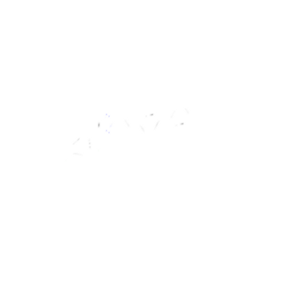 CCOc1ccc(-c2ccc(C=Cc3nc(-c4ccc(Cl)cc4Cl)c[nH]3)cc2)cc1